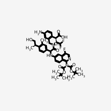 Cc1cc(C(Nc2ccc3c(N(C(=O)OC(C)(C)C)C(=O)OC(C)(C)C)ncc(F)c3c2)C(=O)N(C)Cc2cc(N)ccc2[C@H](CC(F)F)C(=O)O)ccc1[C@@H](C)CO